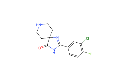 O=C1NC(c2ccc(F)c(Cl)c2)=NC12CCNCC2